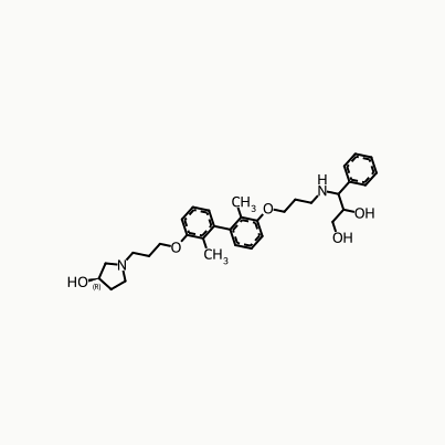 Cc1c(OCCCNC(c2ccccc2)C(O)CO)cccc1-c1cccc(OCCCN2CC[C@@H](O)C2)c1C